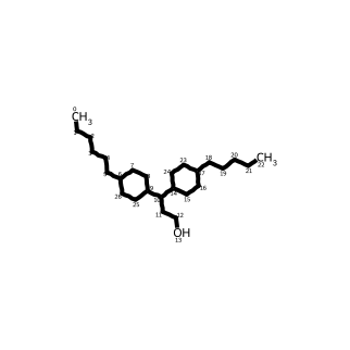 CCCCCCC1CCC(C(CCO)C2CCC(CCCCC)CC2)CC1